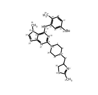 CC1=NC(CN2CCN(c3nc(Nc4cc(C(C)(C)C)ccc4C)c4c(ncn4C)n3)CC2)CS1